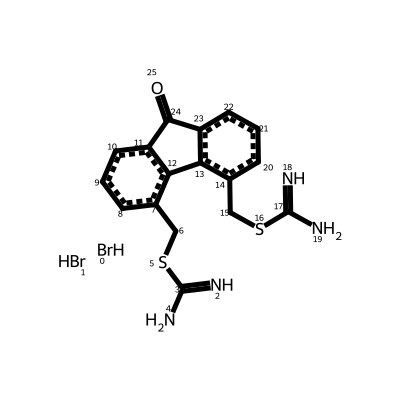 Br.Br.N=C(N)SCc1cccc2c1-c1c(CSC(=N)N)cccc1C2=O